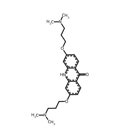 CN(C)CCCOc1ccc2c(=O)c3ccc(OCCCN(C)C)cc3[nH]c2c1